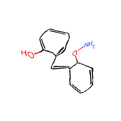 NOC1C=CC=CC1=Cc1ccccc1O